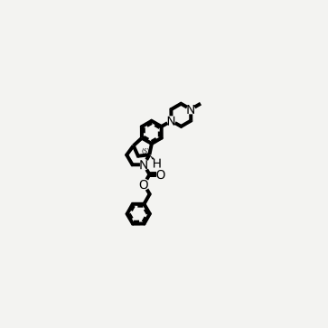 CN1CCN(c2ccc3c(c2)[C@@H]2CC3CCN2C(=O)OCc2ccccc2)CC1